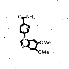 COc1cc2ncn(-c3ccc(C(N)=O)cc3)c2cc1OC